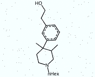 CCCCCCN1CCC(C)(c2cccc(CCO)c2)C(C)C1